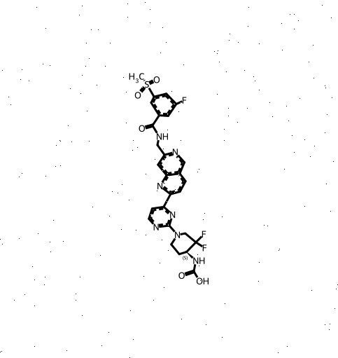 CS(=O)(=O)c1cc(F)cc(C(=O)NCc2cc3nc(-c4ccnc(N5CC[C@H](NC(=O)O)C(F)(F)C5)n4)ccc3cn2)c1